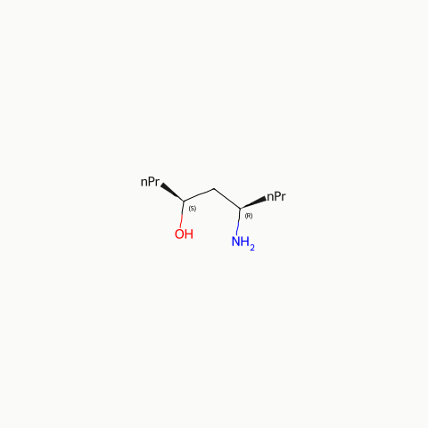 CCC[C@@H](N)C[C@@H](O)CCC